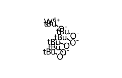 CC(C)(C)[O-].CC(C)(C)[O-].CC(C)(C)[O-].CC(C)(C)[O-].CC(C)(C)[O-].CC(C)(C)[O-].[W+6]